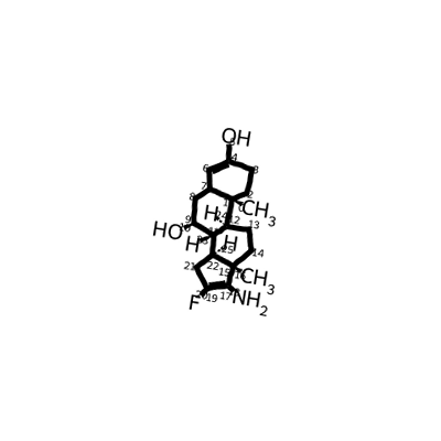 C[C@]12CCC(O)=CC1C[C@H](O)[C@@H]1[C@@H]2CC[C@]2(C)C(N)=C(F)C[C@@H]12